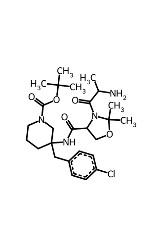 CC(N)C(=O)N1C(C(=O)NC2(Cc3ccc(Cl)cc3)CCCN(C(=O)OC(C)(C)C)C2)COC1(C)C